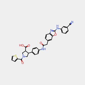 N#Cc1cccc(Nc2nc3ccc(CC(=O)Nc4ccc(C5CN(C(=O)c6cccs6)CC5C(=O)O)cc4)cc3o2)c1